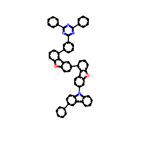 c1ccc(-c2ccc3c(c2)c2ccccc2n3-c2ccc3c(c2)oc2cccc(-c4ccc5oc6cccc(-c7cccc(-c8nc(-c9ccccc9)nc(-c9ccccc9)n8)c7)c6c5c4)c23)cc1